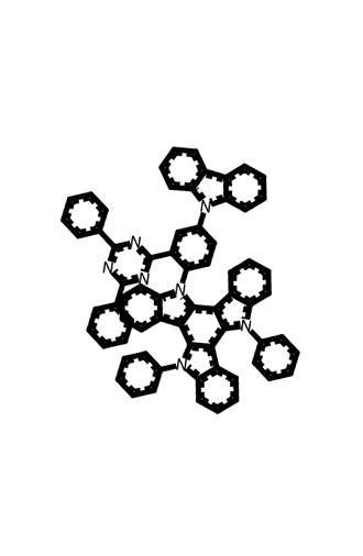 c1ccc(-c2nc(-c3ccccc3)nc(-c3cc(-n4c5ccccc5c5ccccc54)ccc3-n3c4ccccc4c4c5c(c6ccccc6n5-c5ccccc5)c5c(c6ccccc6n5-c5ccccc5)c43)n2)cc1